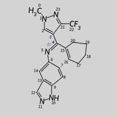 Cn1cc(/C(=N/c2ccc3[nH]ncc3c2)C2=CCCCC2)c(C(F)(F)F)n1